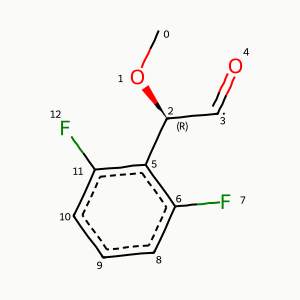 CO[C@@H]([C]=O)c1c(F)cccc1F